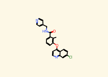 Cc1c(Oc2ccnc3cc(Cl)ccc23)cccc1C(=O)NCc1ccncc1